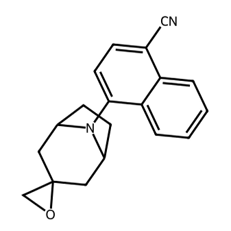 N#Cc1ccc(N2C3CCC2CC2(CO2)C3)c2ccccc12